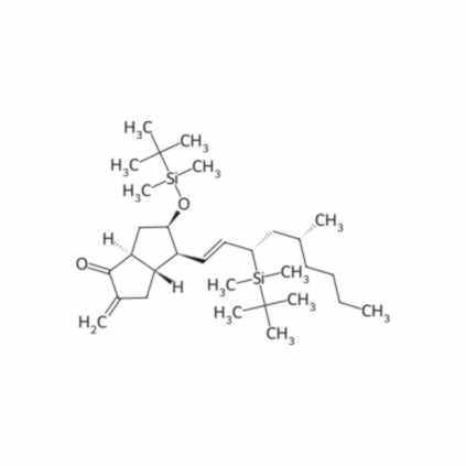 C=C1C[C@H]2[C@H](/C=C/[C@H](C[C@H](C)CCCC)[Si](C)(C)C(C)(C)C)[C@H](O[Si](C)(C)C(C)(C)C)C[C@@H]2C1=O